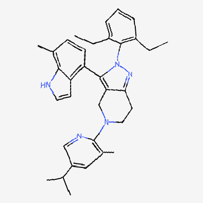 CCc1cccc(CC)c1-n1nc2c(c1-c1ccc(C)c3[nH]ccc13)CN(c1ncc(C(C)C)cc1C)CC2